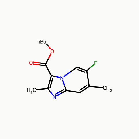 CCCCOC(=O)c1c(C)nc2cc(C)c(F)cn12